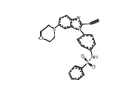 C#Cc1nc2ccc(N3CCOCC3)cc2n1-c1ccc(NS(=O)(=O)c2ccccc2)cc1